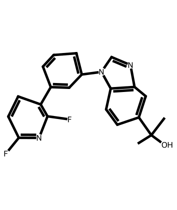 CC(C)(O)c1ccc2c(c1)ncn2-c1cccc(-c2ccc(F)nc2F)c1